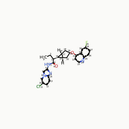 CCC(C(=O)Nc1cn2cc(Cl)ccc2n1)[C@H]1[C@@H]2C[C@@H](Oc3ccnc4ccc(F)cc34)C[C@@H]21